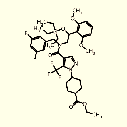 CCOC(=O)C1CCC(n2ncc(C(=O)N(Cc3cc(F)cc(F)c3)CC(O[Si](CC)(CC)CC)c3c(OC)cccc3OC)c2C(F)(F)F)CC1